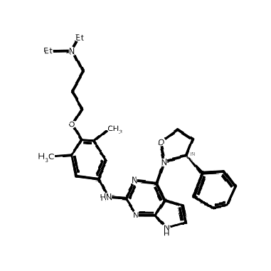 CCN(CC)CCCOc1c(C)cc(Nc2nc(N3OCC[C@H]3c3ccccc3)c3cc[nH]c3n2)cc1C